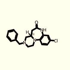 O=C1C[C@H]2CN(Cc3ccccc3)CCN2c2ccc(Cl)cc2N1